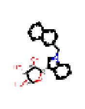 O[C@@H]1[C@@H](O)[C@H](c2cn(Cc3ccc4ccccc4c3)c3ccccc23)OC[C@H]1O